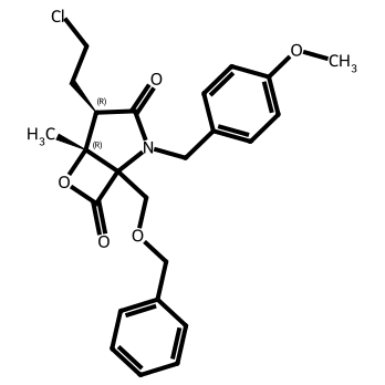 COc1ccc(CN2C(=O)[C@H](CCCl)[C@@]3(C)OC(=O)C23COCc2ccccc2)cc1